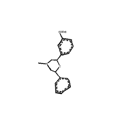 COc1cccc(C2CN(C)CC(c3ccccc3)O2)c1